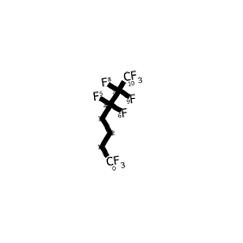 FC(F)(F)CCCC(F)(F)C(F)(F)C(F)(F)F